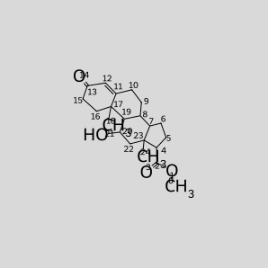 COC(=O)C1CCC2C3CCC4=CC(=O)CCC4(C)C3C(O)CC12C